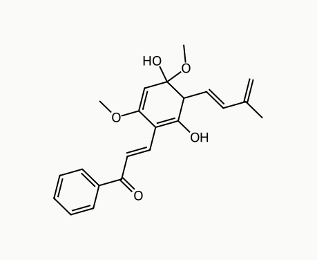 C=C(C)C=CC1C(O)=C(C=CC(=O)c2ccccc2)C(OC)=CC1(O)OC